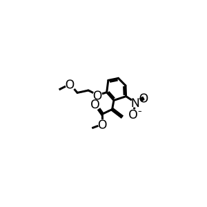 C=C(C(=O)OC)c1c(OCCOC)cccc1[N+](=O)[O-]